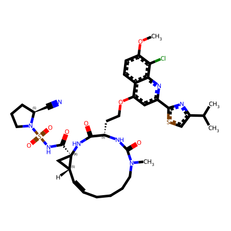 COc1ccc2c(OCC[C@@H]3NC(=O)N(C)CCCCC=C[C@@H]4C[C@@]4(C(=O)NS(=O)(=O)N4CCC[C@H]4C#N)NC3=O)cc(-c3nc(C(C)C)cs3)nc2c1Cl